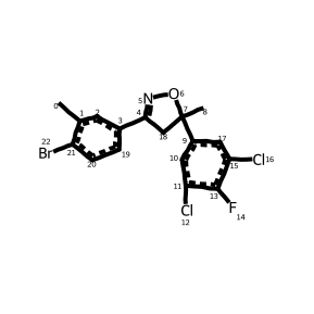 Cc1cc(C2=NOC(C)(c3cc(Cl)c(F)c(Cl)c3)C2)ccc1Br